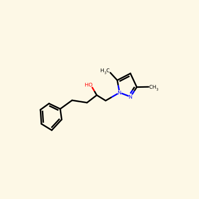 Cc1cc(C)n(CC(O)CCc2ccccc2)n1